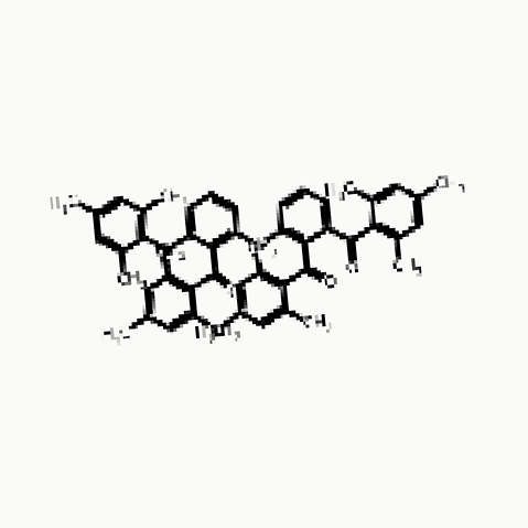 Cc1cc(C)c(C(=O)c2cccc(Oc3cccc(C(=O)c4c(C)cc(C)cc4C)c3C(=O)c3c(C)cc(C)cc3C)c2C(=O)c2c(C)cc(C)cc2C)c(C)c1